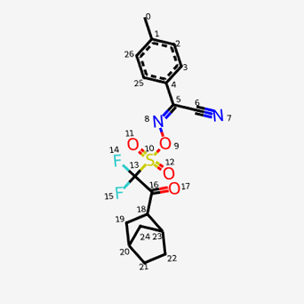 Cc1ccc(C(C#N)=NOS(=O)(=O)C(F)(F)C(=O)C2CC3CCC2C3)cc1